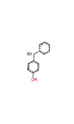 Oc1ccc(Cc2ccccc2)cc1.[KH]